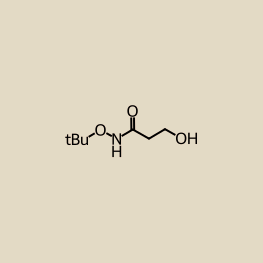 CC(C)(C)ONC(=O)CCO